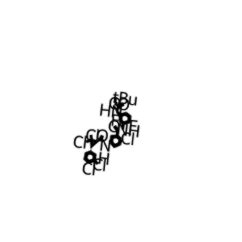 CC(C)(C)OC(=O)Nc1ccc(F)c(NC(=O)c2cc(NC(=O)[C@H]3[C@H](c4ccc(Cl)c(Cl)c4)C3(Cl)Cl)ccc2Cl)c1F